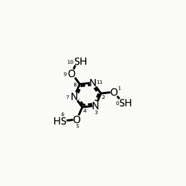 SOc1nc(OS)nc(OS)n1